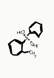 Cc1ccccc1[Si](O)(O)c1ccccc1